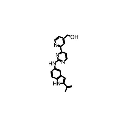 C=C(C)c1cc2cc(Nc3nccc(-c4cc(CO)ccn4)n3)ccc2[nH]1